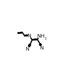 C=CC=NC(C#N)=C(N)C#N